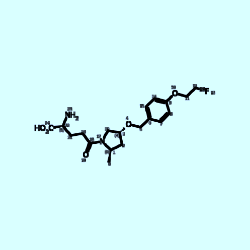 C[C@@H]1C[C@@H](OCc2ccc(OCC[18F])cc2)CN1C(=O)CC[C@H](N)C(=O)O